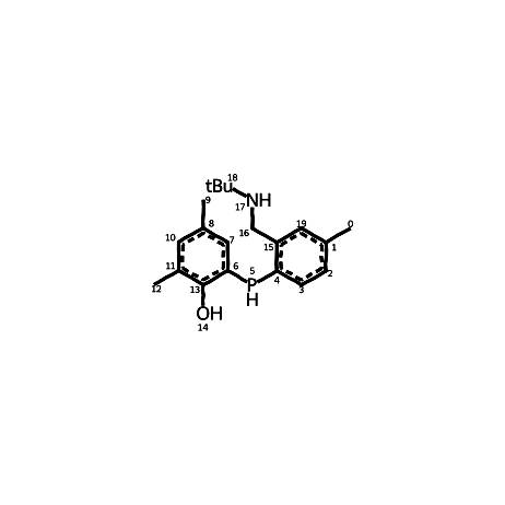 Cc1ccc(Pc2cc(C)cc(C)c2O)c(CNC(C)(C)C)c1